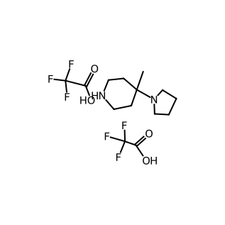 CC1(N2CCCC2)CCNCC1.O=C(O)C(F)(F)F.O=C(O)C(F)(F)F